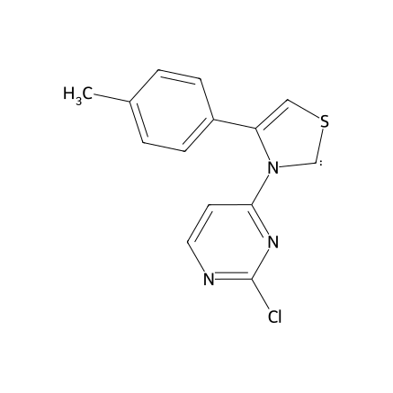 Cc1ccc(C2=CS[C]N2c2ccnc(Cl)n2)cc1